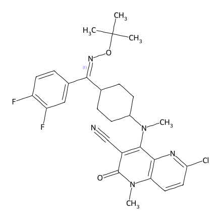 CN(c1c(C#N)c(=O)n(C)c2ccc(Cl)nc12)C1CCC(/C(=N\OC(C)(C)C)c2ccc(F)c(F)c2)CC1